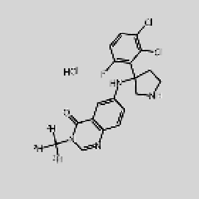 Cl.[2H]C([2H])([2H])n1cnc2ccc(NC3(c4c(F)ccc(Cl)c4Cl)CCNC3)cc2c1=O